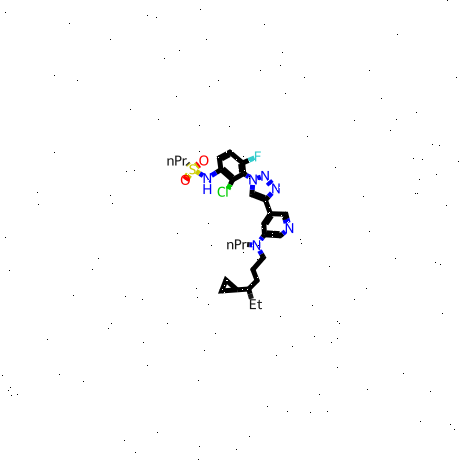 CCCN(CCCC(CC)C1CC1)c1cncc(-c2cn(-c3c(F)ccc(NS(=O)(=O)CCC)c3Cl)nn2)c1